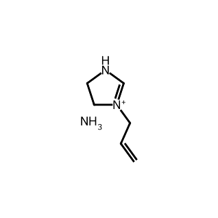 C=CC[N+]1=CNCC1.N